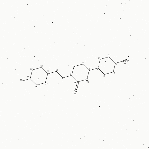 CCCC1CCC(C2CCC(CCC3CCC(C)CC3)C(=O)O2)CC1